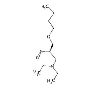 CCCCOC[C@@H](CN(CC)CC)N=O